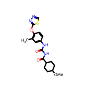 COC1CCC(C(=O)NC(=O)Nc2ccc(Oc3nncs3)c(C)c2)CC1